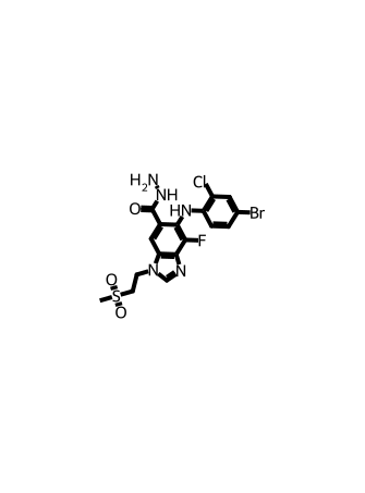 CS(=O)(=O)CCn1cnc2c(F)c(Nc3ccc(Br)cc3Cl)c(C(=O)NN)cc21